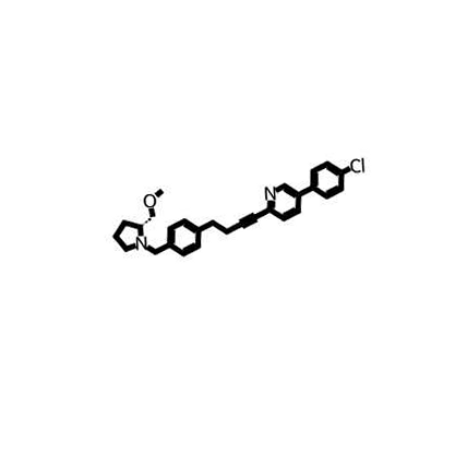 COC[C@H]1CCCN1Cc1ccc(CCC#Cc2ccc(-c3ccc(Cl)cc3)cn2)cc1